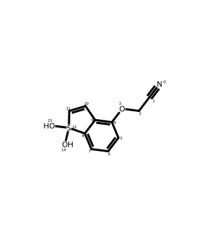 N#CCOc1cccc2c1C=CS2(O)O